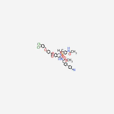 COC(=O)C(Cc1ccc(-c2ccc(C#N)cc2)cc1)NC(=O)[C@@H]1Cc2cc3c(cc2CN1S(=O)(=O)c1ccc(NC(C)=O)cc1C)O[C@@H](c1ccc(OCc2ccc(Cl)c(Cl)c2)cc1)CO3